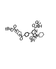 CC(C)Oc1nn(C2CCCCC2)c2nc(C(=O)N[S+](C)[O-])cc(-c3ccc(C(=O)N4CC5CN(C(=O)OC(C)(C)C)CC5C4)cc3)c12